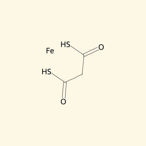 O=C(S)CC(=O)S.[Fe]